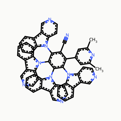 Cc1cc(-c2c(C#N)c(-n3c4ccccc4c4cnccc43)c(-n3c4ccccc4c4cnccc43)c(-n3c4ccccc4c4cnccc43)c2-n2c3ccccc3c3cnccc32)cc(C)n1